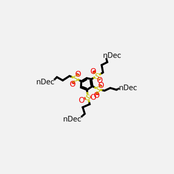 CCCCCCCCCCCCCS(=O)(=O)c1cc(S(=O)(=O)CCCCCCCCCCCCC)c(S(=O)(=O)CCCCCCCCCCCCC)c(S(=O)(=O)CCCCCCCCCCCCC)c1